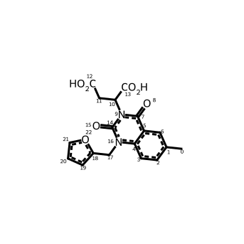 Cc1ccc2c(c1)c(=O)n(C(CC(=O)O)C(=O)O)c(=O)n2Cc1ccco1